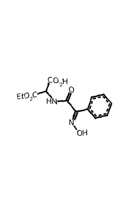 CCOC(=O)C(NC(=O)/C(=N/O)c1ccccc1)C(=O)O